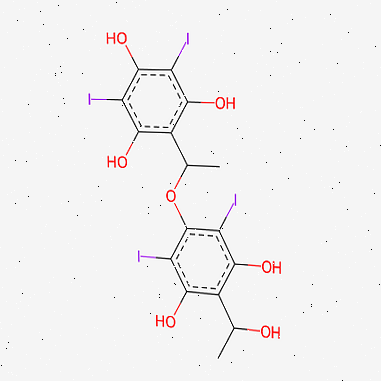 CC(O)c1c(O)c(I)c(OC(C)c2c(O)c(I)c(O)c(I)c2O)c(I)c1O